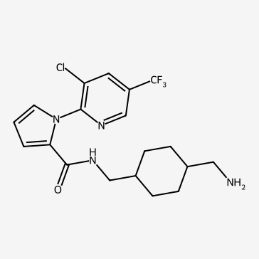 NCC1CCC(CNC(=O)c2cccn2-c2ncc(C(F)(F)F)cc2Cl)CC1